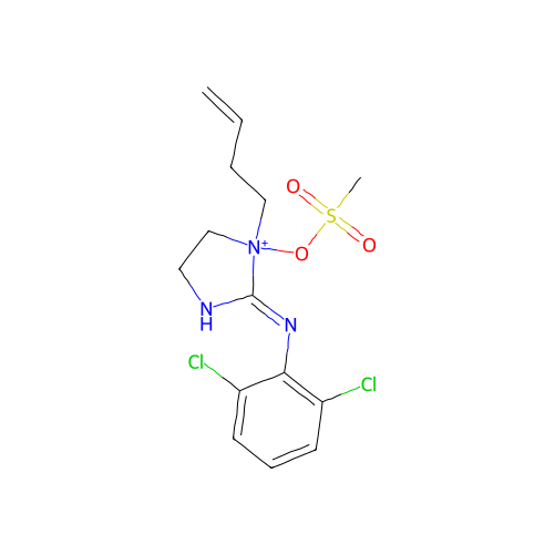 C=CCC[N+]1(OS(C)(=O)=O)CCNC1=Nc1c(Cl)cccc1Cl